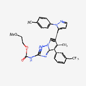 COCCOC(=O)Nc1nc2c(-c3cccc(C(F)(F)F)c3)c(C)c(-c3ccnn3-c3ccc(C#N)cc3)cn2n1